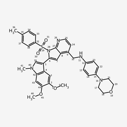 COc1cc2c(-c3cc4c(CNc5ccc(N6CCOCC6)cc5)ccnc4n3S(=O)(=O)c3ccc(C)cc3)cn(C)c2cc1OC